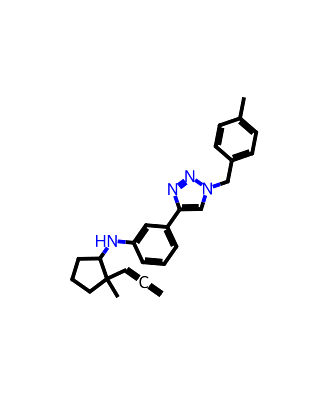 C=C=CC1(C)CCCC1Nc1cccc(-c2cn(Cc3ccc(C)cc3)nn2)c1